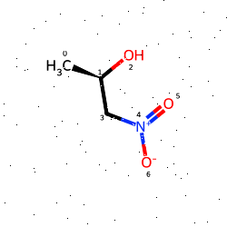 C[C@@H](O)C[N+](=O)[O-]